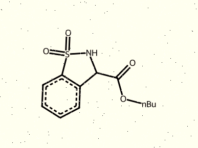 CCCCOC(=O)C1NS(=O)(=O)c2ccccc21